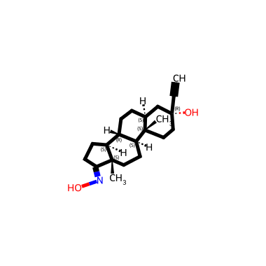 C#C[C@@]1(O)CC[C@@]2(C)[C@@H](CC[C@@H]3[C@@H]2CC[C@]2(C)C(=NO)CC[C@@H]32)C1